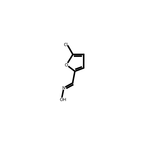 O/N=[C]/c1ccc(Cl)o1